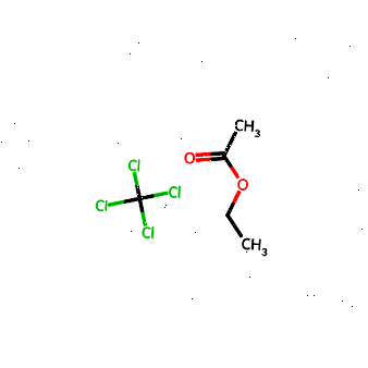 CCOC(C)=O.ClC(Cl)(Cl)Cl